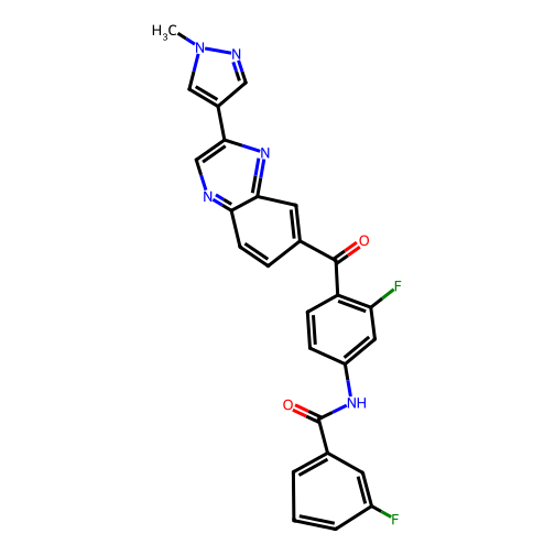 Cn1cc(-c2cnc3ccc(C(=O)c4ccc(NC(=O)c5cccc(F)c5)cc4F)cc3n2)cn1